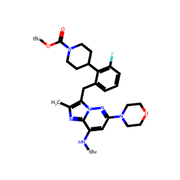 Cc1nc2c(NC(C)(C)C)cc(N3CCOCC3)nn2c1Cc1cccc(F)c1C1CCN(C(=O)OC(C)(C)C)CC1